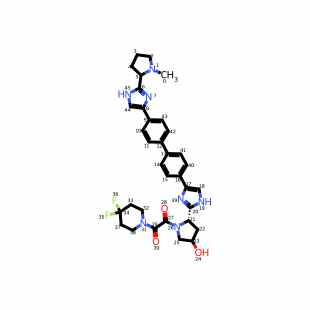 CN1CCCC1c1nc(-c2ccc(-c3ccc(-c4c[nH]c([C@@H]5CC(O)CN5C(=O)C(=O)N5CCC(F)(F)CC5)n4)cc3)cc2)c[nH]1